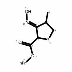 CCCOC(=O)C1SCC(C)/C1=N\O